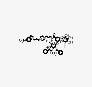 CC1O[C@@H](OC2[C@H](C)CC(C(=O)NCCCN3CCN(CCCn4ccc5cc([N+](=O)[O-])ccc54)CC3)C[C@H]2O[C@@H]2O[C@@H](CO)[C@H](O)C(O[C@@H](CC3CCCCC3)C(=O)O)C2OC(=O)c2ccccc2)[C@@H](O)C(O)[C@@H]1O